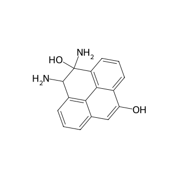 NC1c2cccc3cc(O)c4cccc(c4c23)C1(N)O